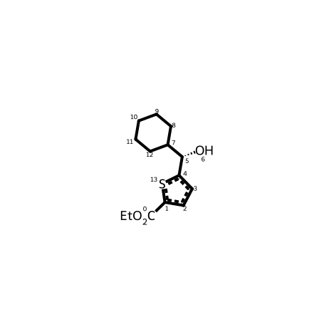 CCOC(=O)c1ccc([C@@H](O)C2CCCCC2)s1